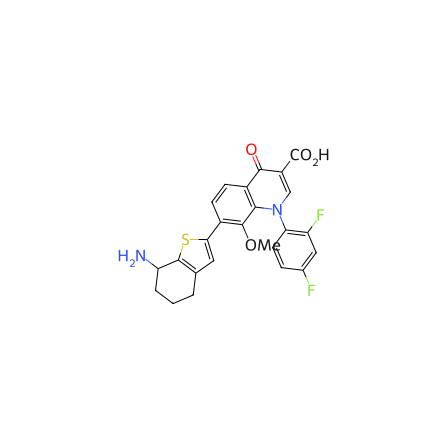 COc1c(-c2cc3c(s2)C(N)CCC3)ccc2c(=O)c(C(=O)O)cn(-c3ccc(F)cc3F)c12